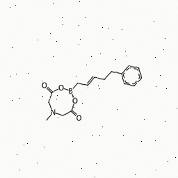 CN1CC(=O)OB(C/C=C/CCc2ccccc2)OC(=O)C1